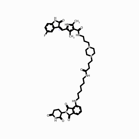 Cc1[nH]c(/C=C2\C(=O)Nc3ccc(F)cc32)c(C)c1C(=O)NCCCN1CCN(CCCC(=O)NCCCCCCNc2cccc3c2C(=O)N(C2CCC(=O)NC2=O)C3=O)CC1